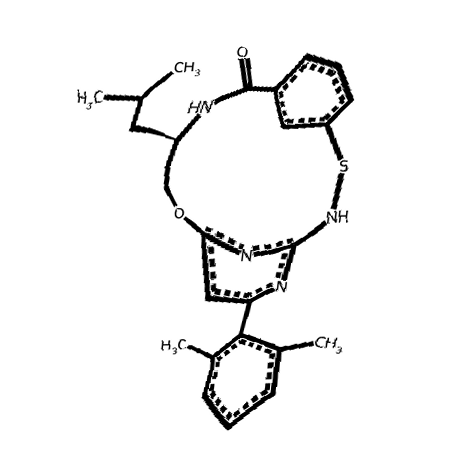 Cc1cccc(C)c1-c1cc2nc(n1)NSc1cccc(c1)C(=O)N[C@H](CC(C)C)CO2